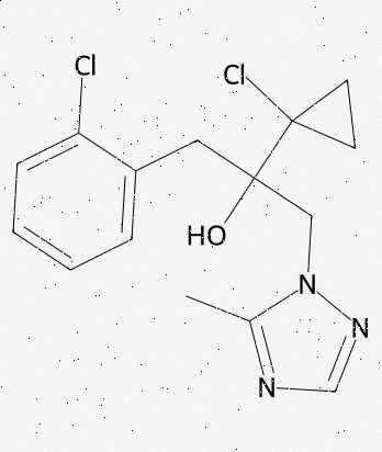 Cc1ncnn1CC(O)(Cc1ccccc1Cl)C1(Cl)CC1